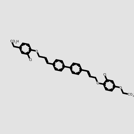 O=C(O)COc1ccc(OCC=Cc2ccc(-c3ccc(C=CCOc4ccc(CC(=O)O)cc4Cl)cc3)cc2)c(Cl)c1